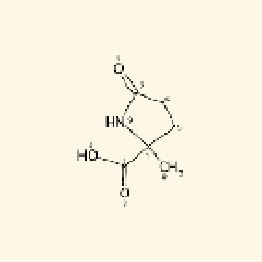 CC1(C(=O)O)CCC(=O)N1